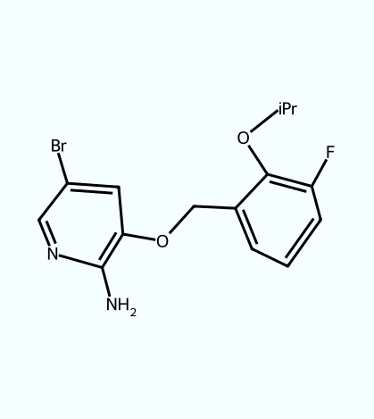 CC(C)Oc1c(F)cccc1COc1cc(Br)cnc1N